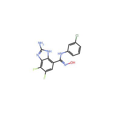 Nc1nc2c(F)c(F)cc(/C(=N/O)Nc3cccc(Cl)c3)c2[nH]1